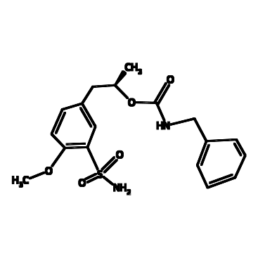 COc1ccc(C[C@@H](C)OC(=O)NCc2ccccc2)cc1S(N)(=O)=O